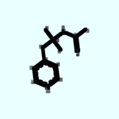 CC(=O)SC(C)(C)Cc1ccncc1